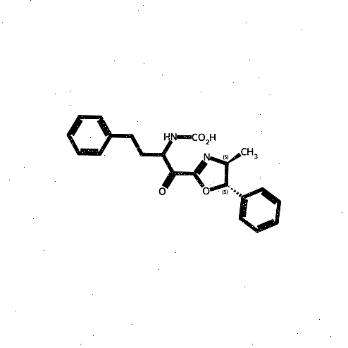 C[C@@H]1N=C(C(=O)C(CCc2ccccc2)NC(=O)O)O[C@H]1c1ccccc1